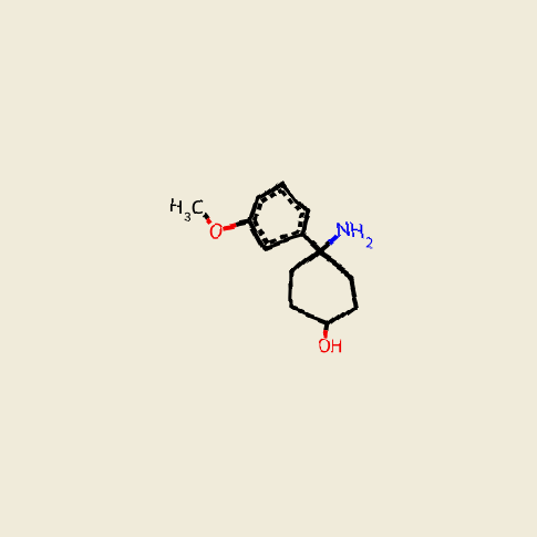 COc1cccc(C2(N)CCC(O)CC2)c1